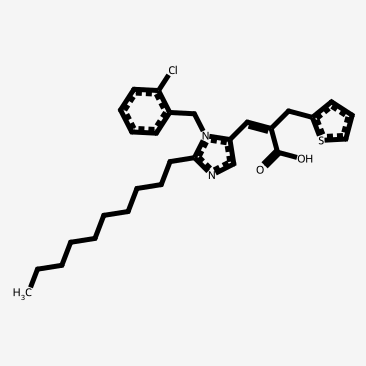 CCCCCCCCCCc1ncc(C=C(Cc2cccs2)C(=O)O)n1Cc1ccccc1Cl